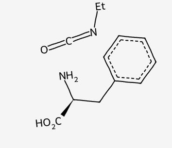 CCN=C=O.N[C@@H](Cc1ccccc1)C(=O)O